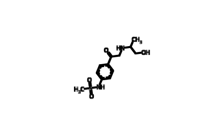 CC(CO)NCC(=O)c1ccc(NS(C)(=O)=O)cc1